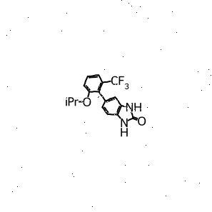 CC(C)Oc1cccc(C(F)(F)F)c1-c1ccc2[nH]c(=O)[nH]c2c1